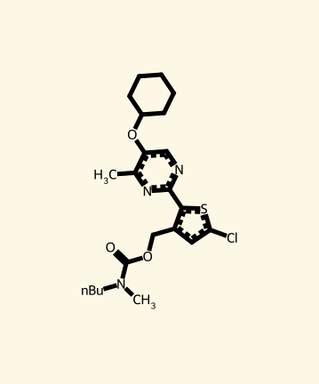 CCCCN(C)C(=O)OCc1cc(Cl)sc1-c1ncc(OC2CCCCC2)c(C)n1